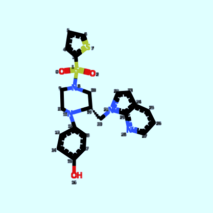 O=S(=O)(c1cccs1)N1CCN(c2ccc(O)cc2)[C@@H](Cn2ccc3cccnc32)C1